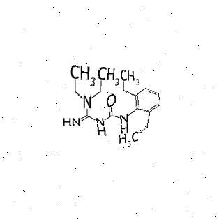 CCc1cccc(CC)c1NC(=O)NC(=N)N(CC)CC